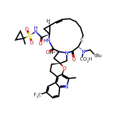 Cc1nc2ccc(C(F)(F)F)cc2c2c1O[C@]1(CC2)C[C@H]2C(=O)N[C@]3(C(=O)NS(=O)(=O)C4(C)CC4)C[C@H]3/C=C\CCCCC[C@H](N(CC(C)(C)C)C(=O)O)C(=O)N2C1